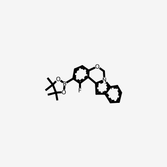 CC1(C)OB(c2ccc3c(c2F)-c2cc4ccccc4n2CO3)OC1(C)C